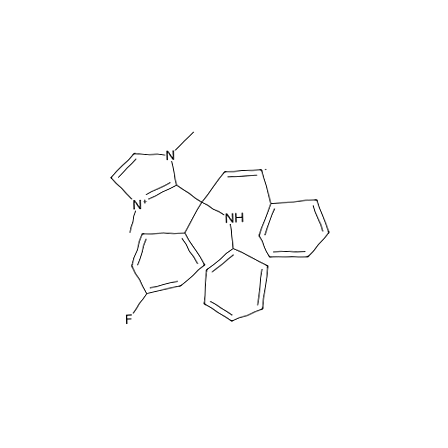 Cn1cc[n+](C)c1C(/C=[C]\c1ccccc1)(Nc1ccccc1)c1ccc(F)cc1